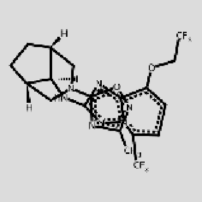 Cc1noc(N2C[C@H]3CC[C@@H](C2)[C@@H]3Nc2nc3c(OCC(F)(F)F)ccc(C(F)(F)F)n3n2)n1